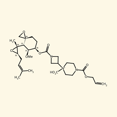 C=CCOC(=O)N1CC[N+](C(=O)O)(C2CN(C(=O)O[C@@H]3CC[C@]4(CO4)[C@@H]([C@@]4(C)O[C@@H]4CC=C(C)C)[C@@H]3OC)C2)CC1